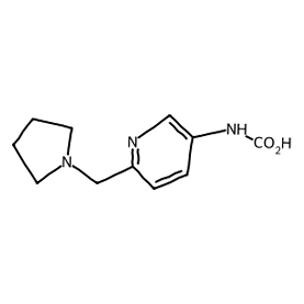 O=C(O)Nc1ccc(CN2CCCC2)nc1